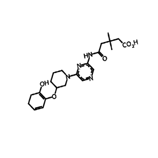 CC(C)(CC(=O)O)CC(=O)Nc1cncc(N2CCCC(OC3=C(O)CCC=C3)C2)n1